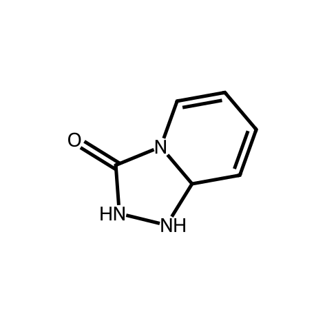 O=C1NNC2C=CC=CN12